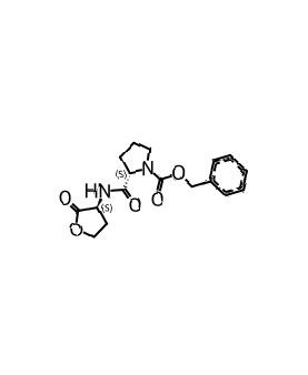 O=C1OCC[C@@H]1NC(=O)[C@@H]1CCCN1C(=O)OCc1ccccc1